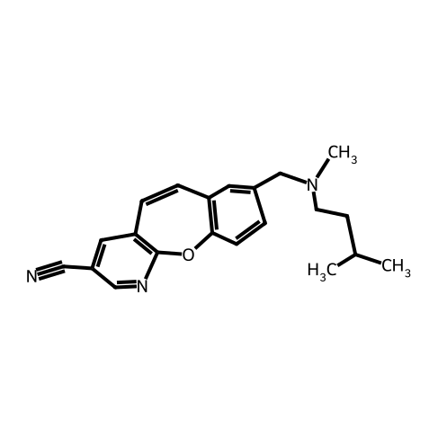 CC(C)CCN(C)Cc1ccc2c(c1)C=Cc1cc(C#N)cnc1O2